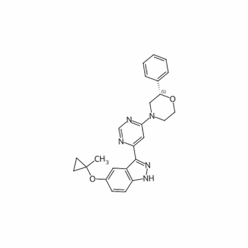 CC1(Oc2ccc3[nH]nc(-c4cc(N5CCO[C@@H](c6ccccc6)C5)ncn4)c3c2)CC1